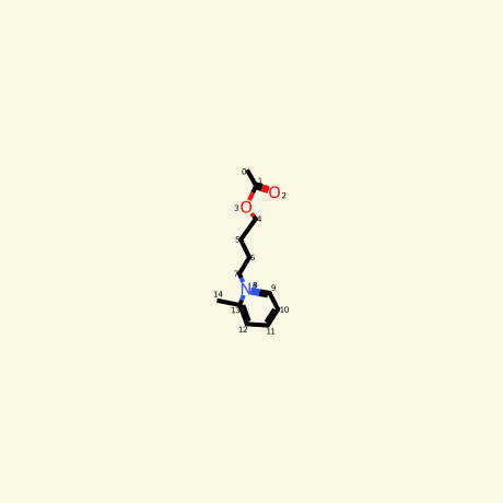 CC(=O)OCCCC[n+]1ccccc1C